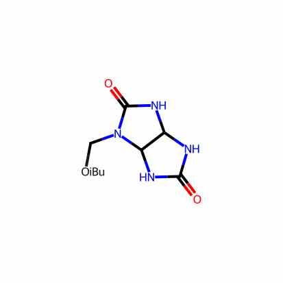 CC(C)COCN1C(=O)NC2NC(=O)NC21